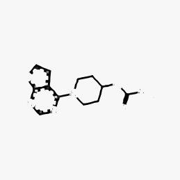 NC(=O)OC1CCN(c2ncnc3sccc23)CC1